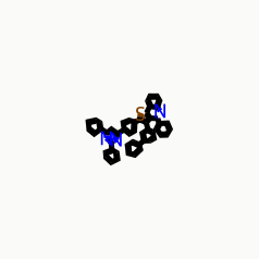 c1ccc(-c2cccc(-c3c(-c4ccc(-c5cc(-c6ccccc6)nc(-c6ccccc6)n5)cc4)sc4c3c(-c3ccccc3)nc3ccccc34)c2)cc1